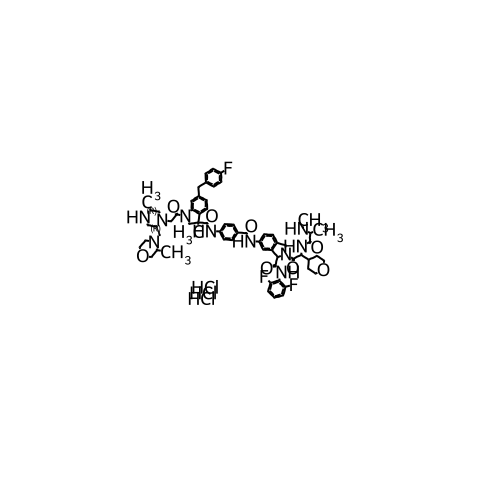 CNC(C)C(=O)NC(C(=O)N1Cc2ccc(NC(=O)c3ccc(NC(=O)C4(C)CN(C(=O)CN5C[C@@H](C)NC[C@@H]5CN5CCOCC5C)c5cc(Cc6ccc(F)cc6)ccc54)cc3)cc2C1C(=O)Nc1c(F)cccc1F)C1CCOCC1.Cl.Cl.Cl